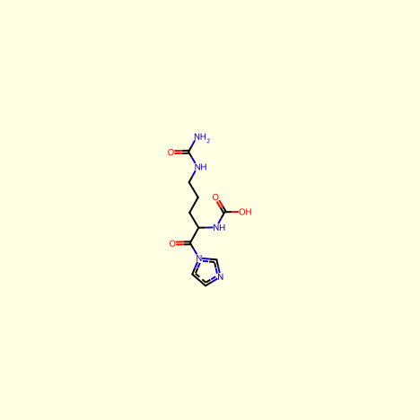 NC(=O)NCCCC(NC(=O)O)C(=O)n1ccnc1